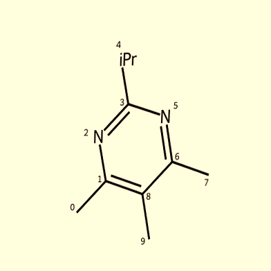 Cc1nc(C(C)C)nc(C)c1C